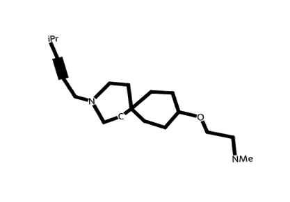 CNCCOC1CCC2(CC1)CCN(CC#CC(C)C)CC2